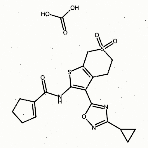 O=C(Nc1sc2c(c1-c1nc(C3CC3)no1)CCS(=O)(=O)C2)C1=CCCC1.O=C(O)O